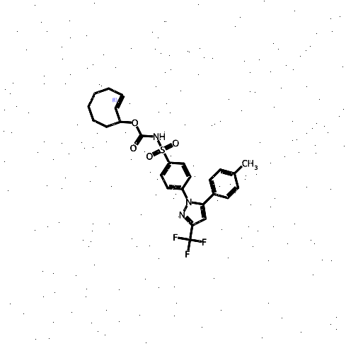 Cc1ccc(-c2cc(C(F)(F)F)nn2-c2ccc(S(=O)(=O)NC(=O)OC3/C=C/CCCCC3)cc2)cc1